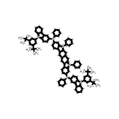 CC(C)(C)c1cc(-n2c3ccccc3c3cc(N(c4ccccc4)c4ccc5c6cc7cc8c9ccc(N(c%10ccccc%10)c%10ccc%11c(c%10)c%10ccccc%10n%11-c%10cc(C(C)(C)C)cc(C(C)(C)C)c%10)cc9n(-c9ccccc9)c8cc7cc6n(-c6ccccc6)c5c4)ccc32)cc(C(C)(C)C)c1